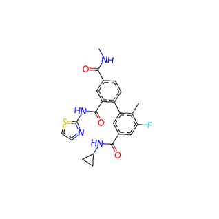 CNC(=O)c1ccc(-c2cc(C(=O)NC3CC3)cc(F)c2C)c(C(=O)Nc2nccs2)c1